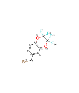 FC1(F)Oc2ccc(CBr)cc2OC1(F)F